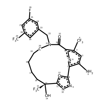 Nc1cc(C(F)(F)F)c2nc1-c1nnc(o1)[C@@](O)(C(F)(F)F)CCCCCN(Cc1cc(F)cc(C(F)(F)F)c1)C2=O